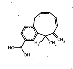 C=C1/C=C\C=C/Cc2ccc(B(O)O)cc2C1(C)C